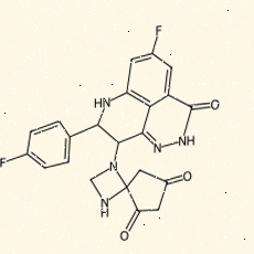 O=C1CC(=O)C2(C1)NCN2C1c2n[nH]c(=O)c3cc(F)cc(c23)NC1c1ccc(F)cc1